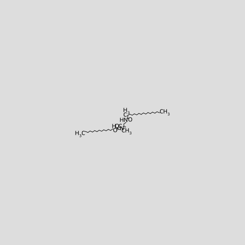 CCCCCCCCCCCCCCCC(C)C(=O)NCCC[N+](C)(C)CC(=O)OCCCCCCCCCCCCCC